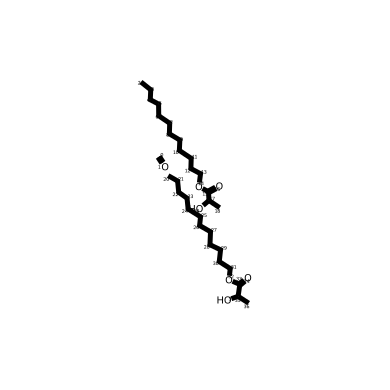 C=O.CCCCCCCCCCCCOC(=O)C(C)O.CCCCCCCCCCCCOC(=O)C(C)O